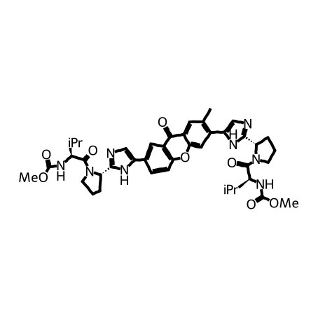 COC(=O)N[C@H](C(=O)N1CCC[C@H]1c1ncc(-c2ccc3oc4cc(-c5cnc([C@@H]6CCCN6C(=O)[C@@H](NC(=O)OC)C(C)C)[nH]5)c(C)cc4c(=O)c3c2)[nH]1)C(C)C